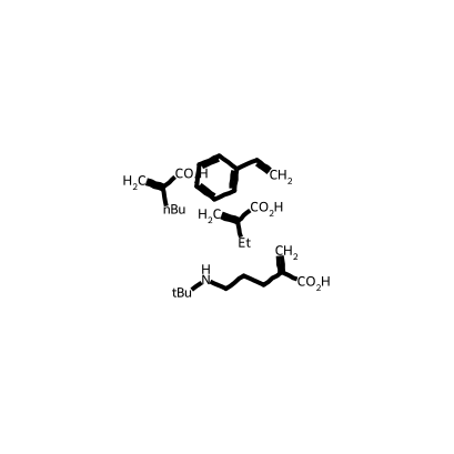 C=C(CC)C(=O)O.C=C(CCCC)C(=O)O.C=C(CCCNC(C)(C)C)C(=O)O.C=Cc1ccccc1